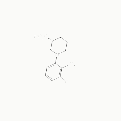 N#Cc1c(Cl)cccc1N1CCC[C@H](C(=O)O)C1